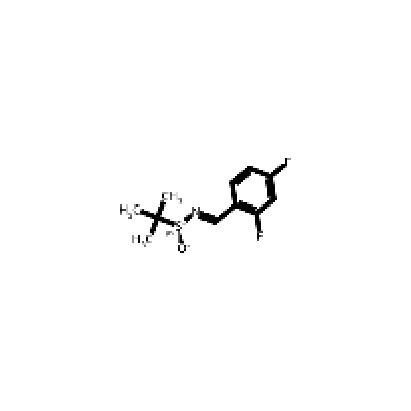 CC(C)(C)[S@+]([O-])N=Cc1ccc(F)cc1F